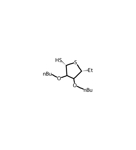 CCCCOC1C(OCCCC)[C@@H](CC)S[C@H]1S